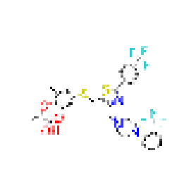 Cc1cc(SCc2sc(-c3ccc(C(F)(F)F)cc3)nc2CN2CCN(c3ccccc3C(F)(F)F)CC2)ccc1OC(C)C(=O)O